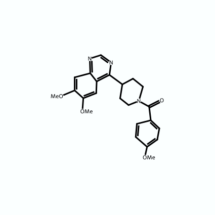 COc1ccc(C(=O)N2CCC(c3ncnc4cc(OC)c(OC)cc34)CC2)cc1